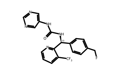 O=C(Nc1cncnc1)N[C@@H](c1ccc(CF)cc1)c1ncccc1C(F)(F)F